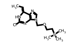 CC=C1NC(Cl)=Nc2c1ncn2COCC[Si](C)(C)C